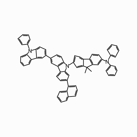 CC1(C)c2cc(N(c3ccccc3)c3ccccc3)ccc2-c2ccc(-n3c4ccc(-c5ccc6c(c5)c5ccccc5n6-c5ccccc5)cc4c4ccc(-c5cccc6ccccc56)cc43)cc21